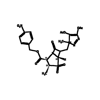 CC(=O)OC1=C(OC(C)=O)[N+](C)(CC2C(=O)N3[C@@H](C(=O)OCc4ccc([N+](=O)[O-])cc4)[C@@H](C)S(=O)(=O)[C@@H]23)N=N1